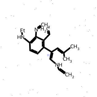 C=CN/C=C(\C=C(C)C)c1ccc(NCC)c(N=C)c1C=C